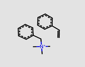 C=Cc1ccccc1.C[N+](C)(C)Cc1ccccc1